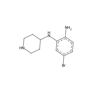 Nc1ccc(Br)cc1NC1CCNCC1